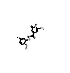 CCSc1ccc(Cl)cc1NNC(=O)c1cc(C)[nH]c(=O)c1